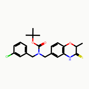 CC1Oc2ccc(CN(Cc3cccc(Cl)c3)C(=O)OC(C)(C)C)cc2NC1=S